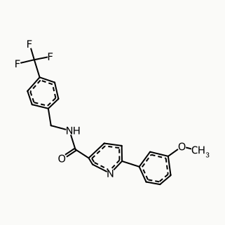 COc1cccc(-c2ccc(C(=O)NCc3ccc(C(F)(F)F)cc3)cn2)c1